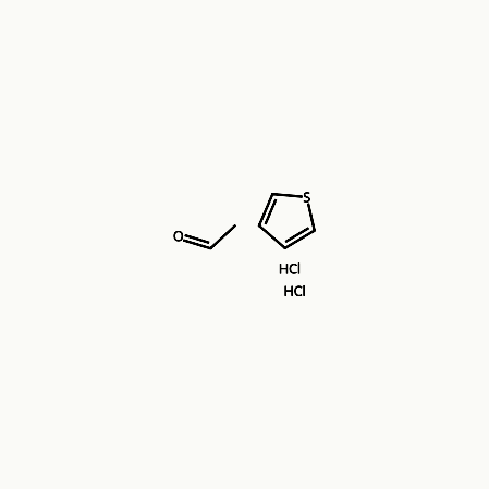 CC=O.Cl.Cl.c1ccsc1